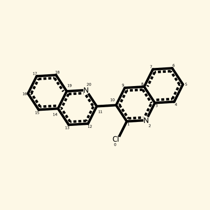 Clc1nc2ccccc2cc1-c1ccc2ccccc2n1